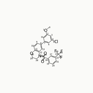 COc1cc(Cl)cc(-c2ccc3c(c2)N(S(=O)(=O)c2cccc(C(F)(F)F)c2)CCO3)c1